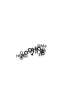 COc1cc(C(=O)N2C[C@H]3CC[C@@H]2[C@@H]3N)cc2nc(-c3cc4ccc(-c5ccc(C6NC(=O)NC6=O)cc5)nc4n3CC3CC3)n(C)c12